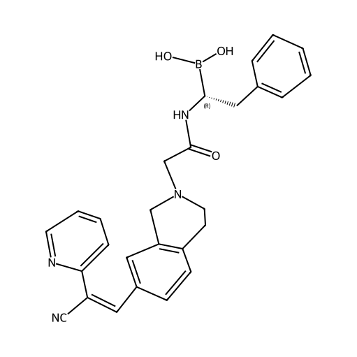 N#CC(=Cc1ccc2c(c1)CN(CC(=O)N[C@@H](Cc1ccccc1)B(O)O)CC2)c1ccccn1